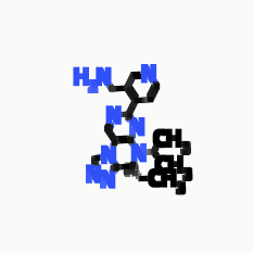 CC[C@@H]1c2nncn2-c2cnc(-c3ccncc3CN)nc2N1C(C)C